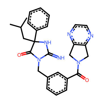 CC(C)CC1(c2ccccc2)NC(=N)N(Cc2cccc(C(=O)N3Cc4nccnc4C3)c2)C1=O